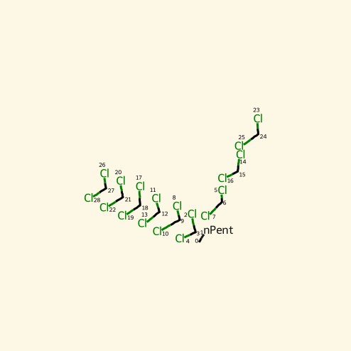 CCCCCC.ClCCl.ClCCl.ClCCl.ClCCl.ClCCl.ClCCl.ClCCl.ClCCl.ClCCl